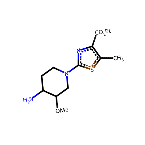 CCOC(=O)c1nc(N2CCC(N)C(OC)C2)sc1C